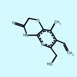 C=Cc1c(CO)nc2c(c1C)OCC(=O)N2